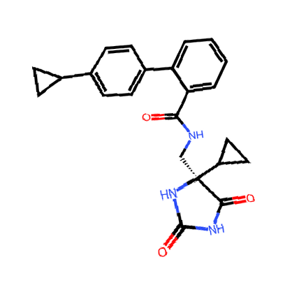 O=C1NC(=O)[C@](CNC(=O)c2ccccc2-c2ccc(C3CC3)cc2)(C2CC2)N1